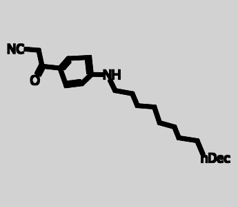 CCCCCCCCCCCCCCCCCCNc1ccc(C(=O)CC#N)cc1